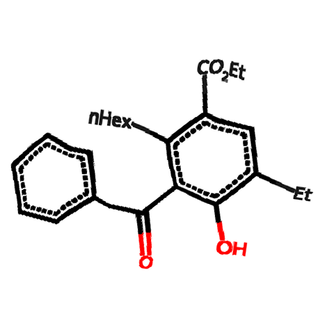 CCCCCCc1c(C(=O)OCC)cc(CC)c(O)c1C(=O)c1ccccc1